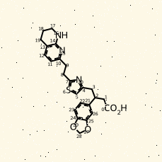 O=C(O)CC(Cc1csc(CCc2ccc3c(n2)NCCC3)n1)c1ccc2c(c1)OCO2